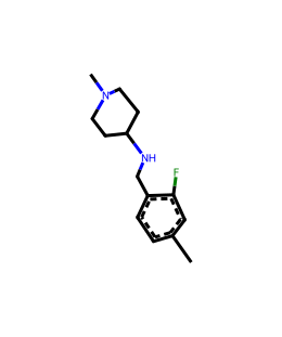 Cc1ccc(CNC2CCN(C)CC2)c(F)c1